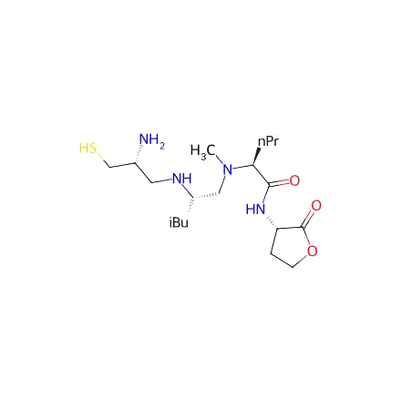 CCC[C@@H](C(=O)N[C@H]1CCOC1=O)N(C)C[C@@H](NC[C@@H](N)CS)[C@@H](C)CC